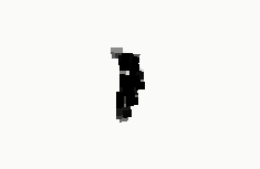 CC(CC(C)(C)OOC(C)(C)c1ccccc1)OC(=O)OC(C)CC(C)(C)OOC(C)(C)c1ccccc1